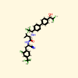 CC(C)[C@H](N[C@@H](c1ccc(-c2ccc([C@@H](O)C(F)F)cc2)cc1)C(F)(F)F)C(=O)NC(C#N)Cc1ccc(C(F)(F)F)cc1F